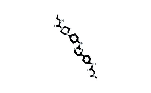 CCNC(=O)N1CCN(c2ccc(Nc3nccc(-c4ccc(NC(=O)CN(C)C)cc4)n3)cc2)CC1